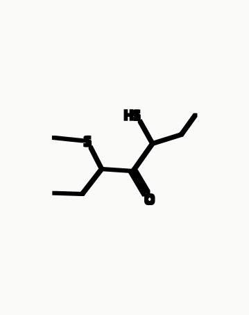 CCC(S)C(=O)C(CC)SC